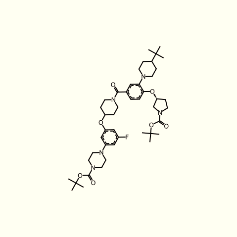 CC(C)(C)OC(=O)N1CCN(c2cc(F)cc(OC3CCN(C(=O)c4ccc(O[C@H]5CCN(C(=O)OC(C)(C)C)C5)c(N5CCC(C(C)(C)C)CC5)c4)CC3)c2)CC1